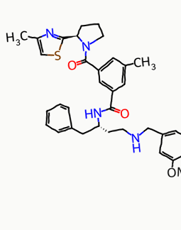 COc1cccc(CNCC[C@H](Cc2ccccc2)NC(=O)c2cc(C)cc(C(=O)N3CCC[C@@H]3c3nc(C)cs3)c2)c1